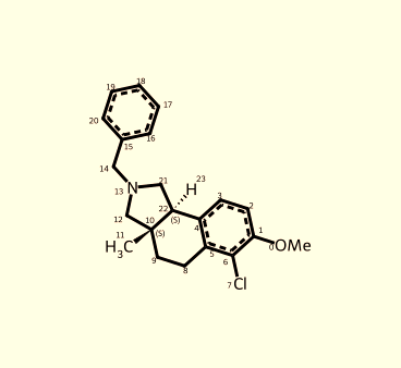 COc1ccc2c(c1Cl)CC[C@]1(C)CN(Cc3ccccc3)C[C@@H]21